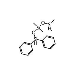 C[SiH](C)O[Si](C)(C)O[SiH](c1ccccc1)c1ccccc1